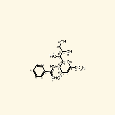 O=C(O)C1=C[C@H](O)[C@@H](NC(=O)c2ccccc2)[C@H]([C@H](O)[C@H](O)CO)O1